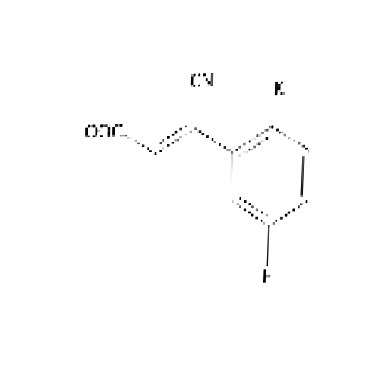 N#CC(=CC(=O)[O-])c1cccc(F)c1.[K+]